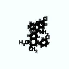 C=C1C=C(c2cccc(Cl)c2)c2cc(C(N)(c3ccc(Cl)cc3)c3cncn3C)ccc2N1C